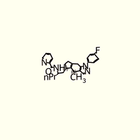 CCCC(C[C@H]1CCC2=C1[C@@H](C)c1cnn(-c3ccc(F)cc3)c1C2)NC(=O)c1ccccn1